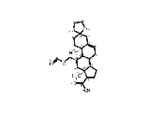 CC(=O)C1CCC2C3CC=C4CC5(CC[C@]4(C)C3[C@H](COC=O)C[C@]12C)OCCO5